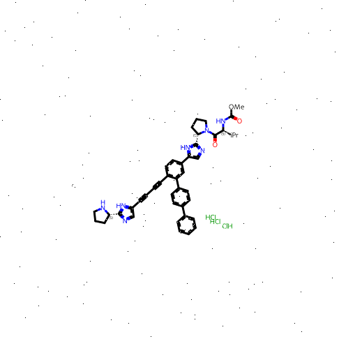 COC(=O)N[C@H](C(=O)N1CCC[C@H]1c1ncc(-c2ccc(C#CC#Cc3cnc([C@@H]4CCCN4)[nH]3)c(-c3ccc(-c4ccccc4)cc3)c2)[nH]1)C(C)C.Cl.Cl.Cl